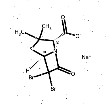 CC1(C)S[C@H]2N(C(=O)C2(Br)Br)[C@H]1C(=O)[O-].[Na+]